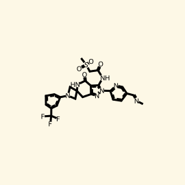 C/N=C/c1ccc(-n2nc3c(c2NC(=O)CS(C)(=O)=O)C(=O)NC2(C3)CN(c3cccc(C(F)(F)F)c3)C2)nc1